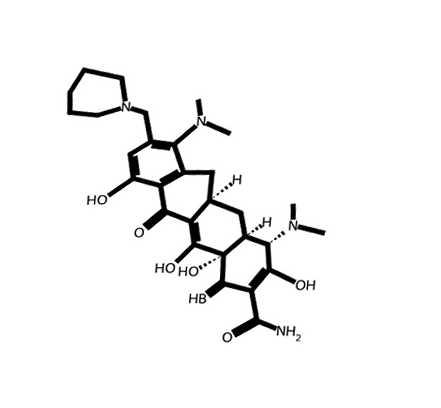 B=C1C(C(N)=O)=C(O)[C@@H](N(C)C)[C@@H]2C[C@@H]3Cc4c(c(O)cc(CN5CCCCC5)c4N(C)C)C(=O)C3=C(O)[C@]12O